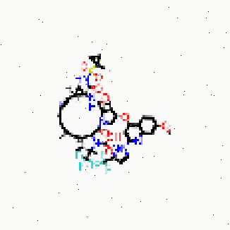 CC[C@@H]1C[C@H](C)CC/C=C\[C@@H]2C[C@@]2(C(=O)NS(=O)(=O)C2(C)CC2)NC(=O)[C@@H]2C[C@@H](Oc3cc(-n4ccc(C(F)(F)F)n4)nc4cc(OC)ccc34)CN2C(=O)[C@H]1N(C(=O)O)C(C)(C)C(F)(F)F